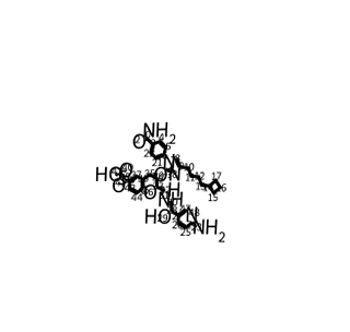 NC(=O)c1ccc(-n2cc(CCCCC3CCC3)[nH]c2=O)cc1.Nc1ccc(C(O)CNCC2CCc3cc(S(=O)(=O)O)ccc3O2)cn1